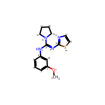 COc1cccc(NC(=Nc2nccs2)N2CCCC2)c1